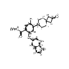 COC(=O)c1cc(F)c(N2CCC3(CC2)CC(=O)C3)cc1Oc1cnc2[nH]ccc2c1